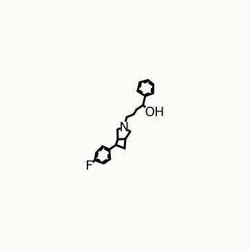 OC(CCCN1CC2CC(c3ccc(F)cc3)C2C1)c1ccccc1